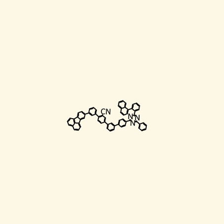 N#Cc1cc(-c2cccc(-c3ccc(-c4nc(-c5ccccc5)nc(-c5ccccc5-c5cccc6ccccc56)n4)cc3)c2)ccc1-c1cccc(-c2ccc3c(c2)-c2cccc4cccc-3c24)c1